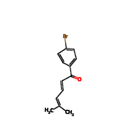 CC(C)=CC=CC(=O)c1ccc(Br)cc1